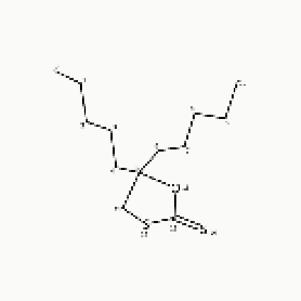 CCCCCC1(CCCCC)CSC(=S)O1